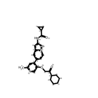 Cc1cc(-c2ccn3nc(NC(=O)C4CC4)cc3c2)c(OCC(=O)C2CCCCC2)cn1